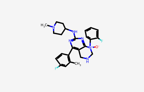 Cc1cc(F)ccc1-c1nc(NC2CCN(C)CC2)nc2c1CNC[N+]2([O-])c1ccccc1F